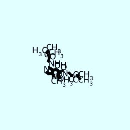 Cn1c(=O)c(C(=O)NCC(=O)OC(C)(C)C)c(O)c2c(NCC(=O)OC(C)(C)C)nccc21